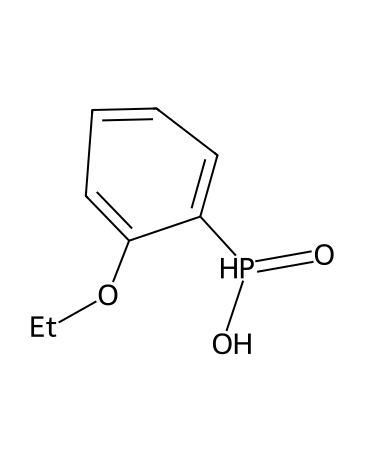 CCOc1ccccc1[PH](=O)O